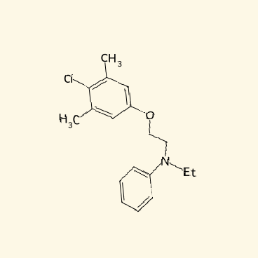 CCN(CCOc1cc(C)c(Cl)c(C)c1)c1ccccc1